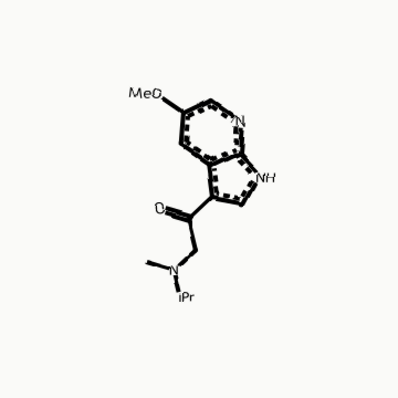 COc1cnc2[nH]cc(C(=O)CN(C)C(C)C)c2c1